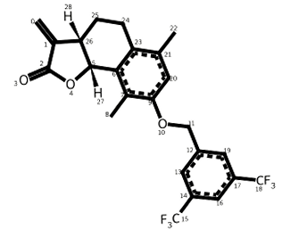 C=C1C(=O)O[C@H]2c3c(C)c(OCc4cc(C(F)(F)F)cc(C(F)(F)F)c4)cc(C)c3CC[C@@H]12